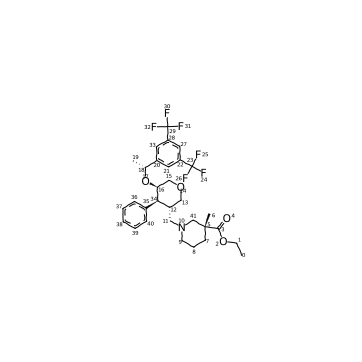 CCOC(=O)[C@]1(C)CCCN(C[C@H]2COC[C@H](O[C@H](C)c3cc(C(F)(F)F)cc(C(F)(F)F)c3)[C@@H]2c2ccccc2)C1